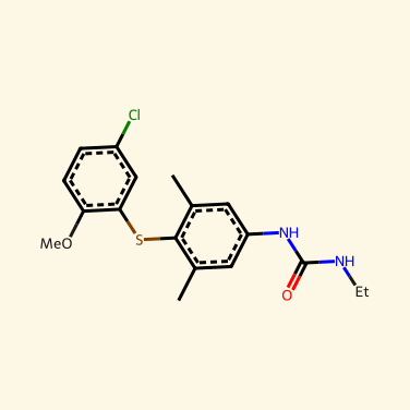 CCNC(=O)Nc1cc(C)c(Sc2cc(Cl)ccc2OC)c(C)c1